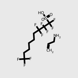 C=CCN.O=S(=O)(O)C(F)(F)C(F)(F)C(F)(F)CCCCCC(F)(F)F